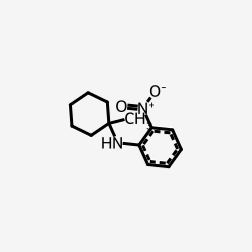 CC1(Nc2ccccc2[N+](=O)[O-])CCCCC1